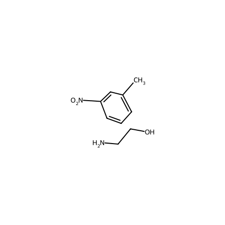 Cc1cccc([N+](=O)[O-])c1.NCCO